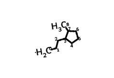 [CH2]CCC1CCCC1C